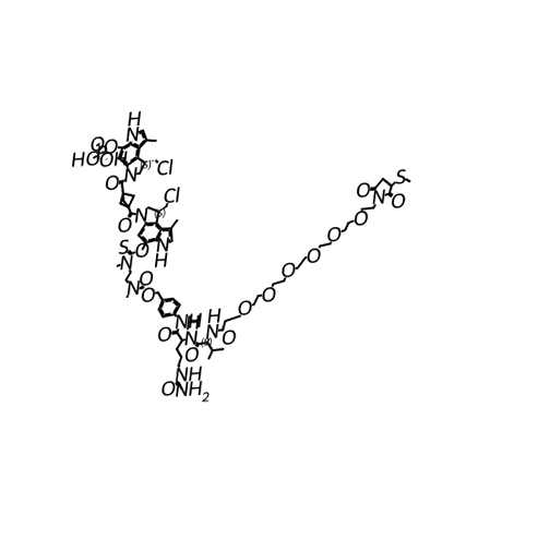 CSC1CC(=O)N(CCOCCOCCOCCOCCOCCOCCC(=O)N[C@H](C(=O)NC(CCCNC(N)=O)C(=O)Nc2ccc(COC(=O)N(C)CCN(C)C(=S)Oc3cc4c(c5c(C)c[nH]c35)[C@H](CCl)CN4C(=O)C34CC(C(=O)N5C[C@@H](CCl)c6c5cc(OP(=O)(O)O)c5[nH]cc(C)c65)(C3)C4)cc2)C(C)C)C1=O